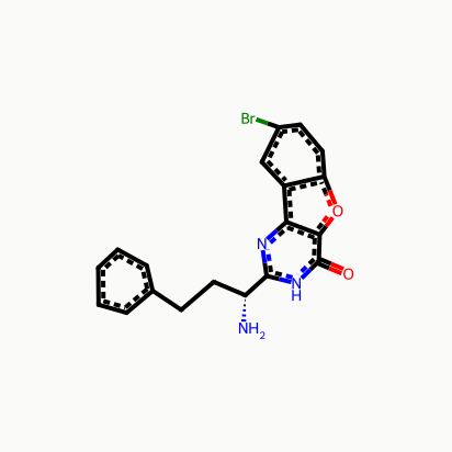 N[C@H](CCc1ccccc1)c1nc2c(oc3ccc(Br)cc32)c(=O)[nH]1